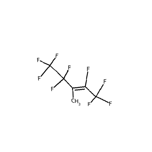 CC(=C(F)C(F)(F)F)C(F)(F)C(F)(F)F